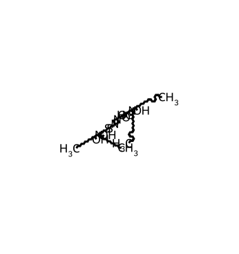 CC/C=C\C/C=C\C/C=C\CCCCCCC(O)CN(CCCC(=O)OCCN1CCN(CCSSCCCCN(CC(O)CCCCCCCCCC)CC(O)CCCCCCCCCC)CC1)CC(O)CCCCCC/C=C\C/C=C\C/C=C\CC